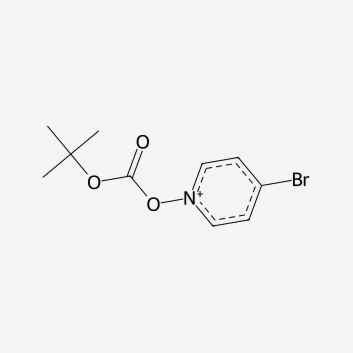 CC(C)(C)OC(=O)O[n+]1ccc(Br)cc1